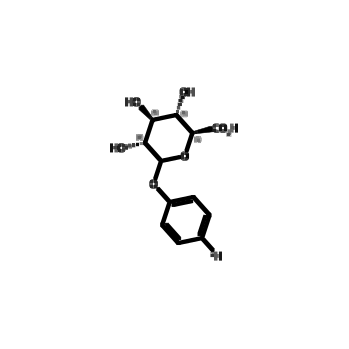 [2H]c1ccc(OC2O[C@H](C(=O)O)[C@@H](O)[C@H](O)[C@H]2O)cc1